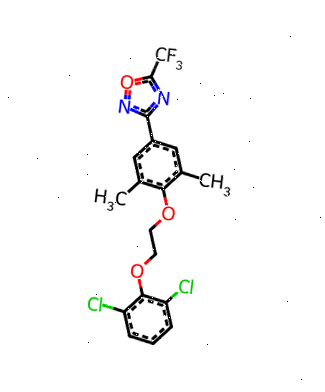 Cc1cc(-c2noc(C(F)(F)F)n2)cc(C)c1OCCOc1c(Cl)cccc1Cl